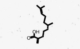 C=C(CCCC(C)CCC=C(C)C)C(=O)O